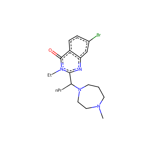 CCCC(c1nc2cc(Br)ccc2c(=O)n1CC)N1CCCN(C)CC1